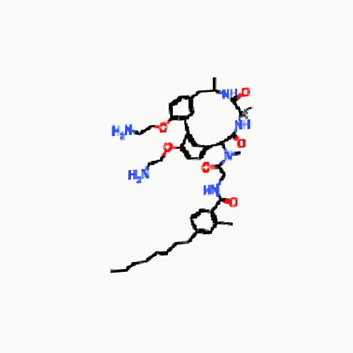 CCCCCCCCc1ccc(C(=O)NCC(=O)N(C)C2C(=O)N[C@@H](C)C(=O)NC(C)Cc3ccc(OCCN)c(c3)-c3cc2ccc3OCCN)c(C)c1